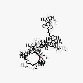 CC[C@@H]1/C=C/C=C(\C)Cc2cc(OC)c(Cl)c(c2)N(C)C(=O)C[C@H](OC(=O)[C@H](C)N(C)C(=O)c2ccc(NC(=O)[C@H](CCCNC(N)=O)NC(=O)[C@@H](NC(=O)CCCCCN3C(=O)CC(C(C)(C)C)CC3=O)C(C)C)c(OC)c2)[C@]2(C)O[C@H]2[C@H](C)[C@@H]2C[C@@]1(O)NC(=O)O2